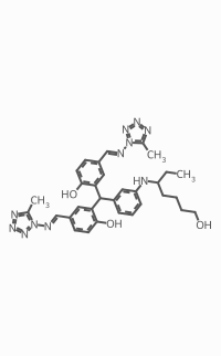 CCC(CCCCO)Nc1cccc(C(c2cc(C=Nn3nnnc3C)ccc2O)c2cc(C=Nn3nnnc3C)ccc2O)c1